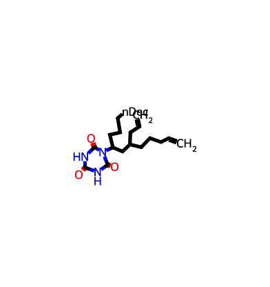 C=CCCCC(CC=C)CC(CCCCCCCCCCCCC)n1c(=O)[nH]c(=O)[nH]c1=O